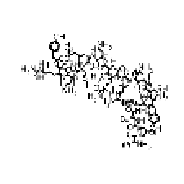 CC[C@H](C)[C@H](NC(=O)[C@@H](NC(=O)[C@@H]1C[C@@H](O)CN1C(=O)[C@@H](N)C(C)C)[C@@H](C)CC)C(=O)N[C@@H](Cc1ccc(O)cc1)C(=O)N[C@H](C(=O)N[C@@H](CC(N)=O)C(=O)N[C@@H](CCCNC(=N)N)C(=O)N[C@@H](CCCNC(N)=O)C(=O)N[C@H](C(=O)N[C@H](CCN)C(=O)N[C@@H](CCCCN)C(=O)N[C@@H](CS)C(=O)N[C@@H](CCN)C(=O)N[C@@H](CCCNC(=N)N)C(=O)N[C@@H](Cc1ccc(O)cc1)C(=O)O)[C@@H](C)O)C(C)(C)S